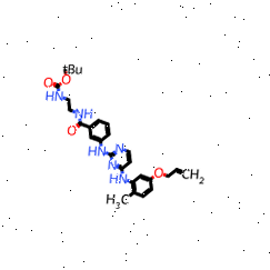 C=CCOc1ccc(C)c(Nc2ccnc(Nc3cccc(C(=O)NCCNC(=O)OC(C)(C)C)c3)n2)c1